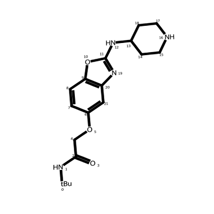 CC(C)(C)NC(=O)COc1ccc2oc(NC3CCNCC3)nc2c1